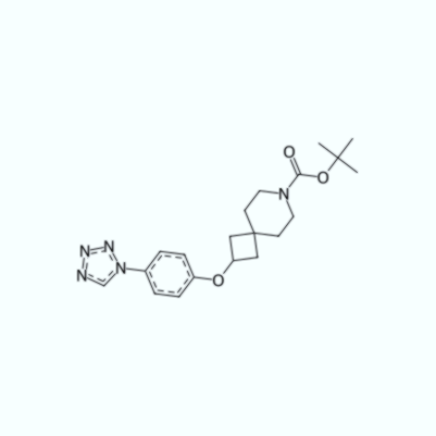 CC(C)(C)OC(=O)N1CCC2(CC1)CC(Oc1ccc(-n3cnnn3)cc1)C2